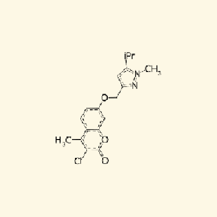 Cc1c(Cl)c(=O)oc2cc(OCc3cc(C(C)C)n(C)n3)ccc12